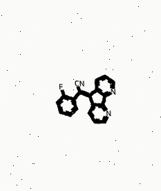 N#CC(=C1c2cccnc2-c2ncccc21)c1ccccc1F